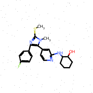 CSc1nc(-c2ccc(F)cc2)c(-c2ccnc(NC3CCCCC3O)c2)n1C